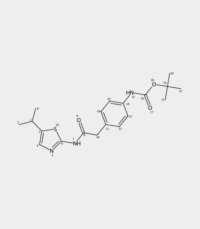 CC(C)c1cnc(NC(=O)Cc2ccc(NC(=O)OC(C)(C)C)cc2)s1